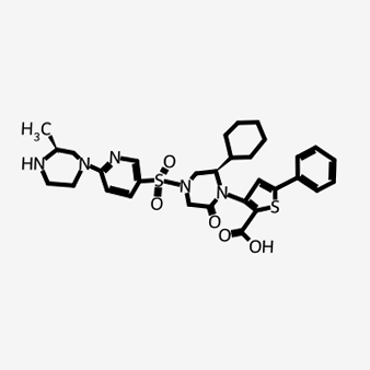 C[C@H]1CN(c2ccc(S(=O)(=O)N3CC(=O)N(c4cc(-c5ccccc5)sc4C(=O)O)[C@H](C4CCCCC4)C3)cn2)CCN1